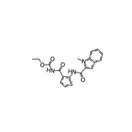 CCOC(=O)NC(=O)c1ccsc1NC(=O)c1cc2ccccc2n1C